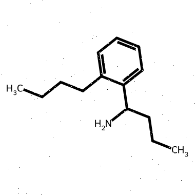 CCCCc1ccccc1[C](N)CCC